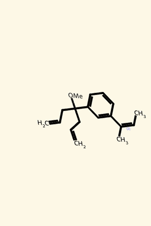 C=CCC(CC=C)(OC)c1cccc(/C(C)=C\C)c1